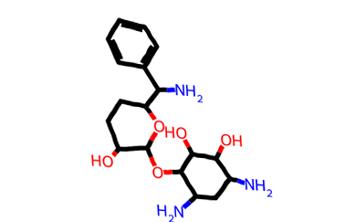 NC1CC(N)C(OC2OC(C(N)c3ccccc3)CCC2O)C(O)C1O